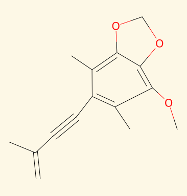 C=C(C)C#Cc1c(C)c(OC)c2c(c1C)OCO2